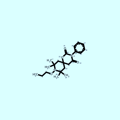 CCCON1C(C)(C)CC2(CC(=O)N(c3ccccc3)C(=O)O2)CC1(C)C